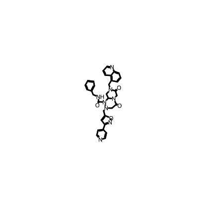 O=C1CN2C(=O)CN(Cc3cc(-c4ccncc4)no3)N(C(=O)NCc3ccccc3)C2CN1Cc1cccc2ncccc12